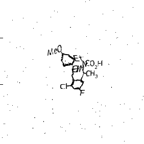 CCN(NC(C)c1cc(F)cc(Cl)c1COc1ccc(OC)cc1)C(=O)O